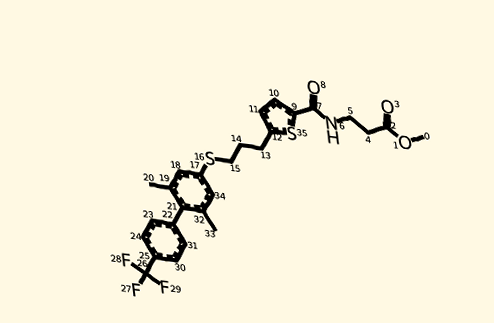 COC(=O)CCNC(=O)c1ccc(CCCSc2cc(C)c(-c3ccc(C(F)(F)F)cc3)c(C)c2)s1